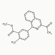 COC(=O)c1cc(-c2nc(C(C)=O)cc3ccccc23)ccc1C